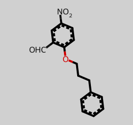 O=Cc1cc([N+](=O)[O-])ccc1OCCCc1ccccc1